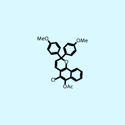 COc1ccc(C2(c3ccc(OC)cc3)C=Cc3c(Cl)c(OC(C)=O)c4ccccc4c3O2)cc1